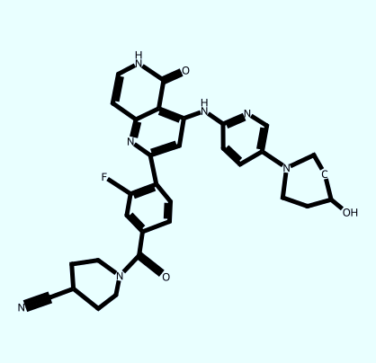 N#CC1CCN(C(=O)c2ccc(-c3cc(Nc4ccc(N5CCC(O)CC5)cn4)c4c(=O)[nH]ccc4n3)c(F)c2)CC1